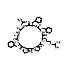 C[C@@H]1NC(=O)[C@H](CC(N)=O)NC(=O)[C@@H](Cc2ccccc2)NC(=O)[C@@H](Cc2ccccc2)NC(=O)[C@@H](CCCNC(=N)N)NC(=O)[C@@H]2CCCN2C(=O)[C@H]2CCCN2C(=O)[C@H](Cc2ccccc2)NC1=O